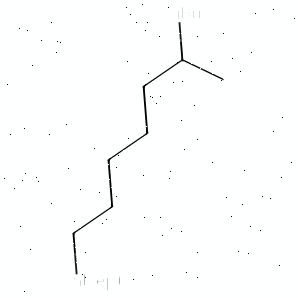 CCCCCCCCCCCCC(C)C(C)CC